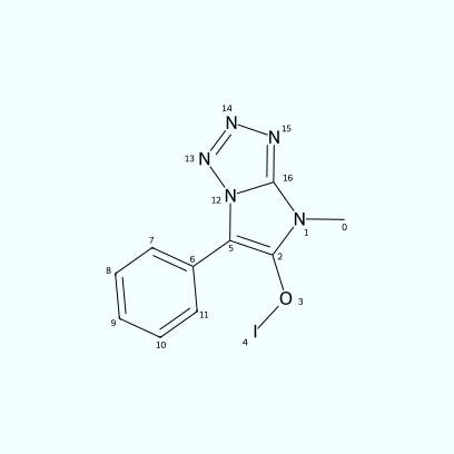 Cn1c(OI)c(-c2ccccc2)n2nnnc12